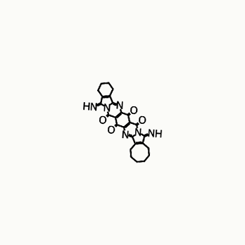 N=c1c2c(c3nc4c(=O)c5c(=O)n6c(=N)c7c(c6nc5c(=O)c4c(=O)n13)CCCC7)CCCCCC2